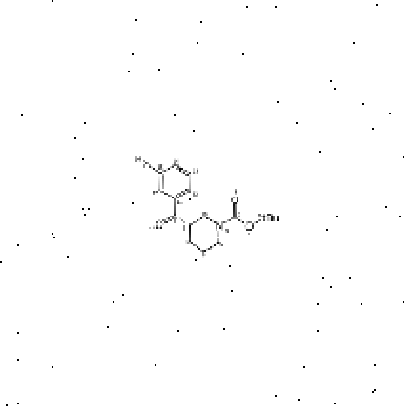 CC(C)(C)OC(=O)N1CCC[C@H](C(=O)c2cccc(F)c2)C1